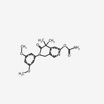 COc1cc(OC)cc(N2Cc3cnc(OC(N)=O)cc3C(C)(C)C2=O)c1